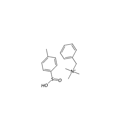 C[N+](C)(C)Cc1ccccc1.Cc1ccc(S(=O)O)cc1